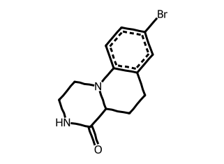 O=C1NCCN2c3ccc(Br)cc3CCC12